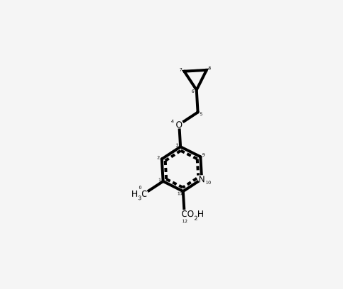 Cc1cc(OCC2CC2)cnc1C(=O)O